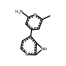 Cc1cc(-c2ccnc3c2N3)cc(N)n1